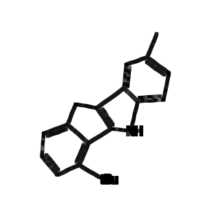 Cc1ccc2[nH]c3c(c2c1)Cc1cccc(C(C)(C)C)c1-3